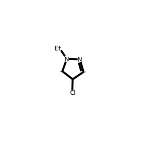 CCN1[CH]C(Cl)[C]=N1